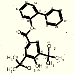 CC(C)(C)c1cc(C(=O)Oc2ccccc2-c2ccccc2)cc(C(C)(C)C)c1O